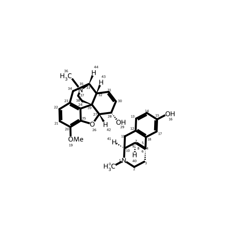 CN1CC[C@@]23CCCC[C@@H]2[C@@H]1Cc1ccc(O)cc13.COc1ccc2c3c1O[C@H]1[C@@H](O)C=C[C@H]4[C@@H](C2)N(C)CC[C@@]341